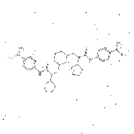 CN(C)c1ccc(NC(=O)N(CC2CCCC(CN(C(=O)Nc3ccc(N(C)C)cc3)C3CCCC3)C2)C2CCCC2)cc1